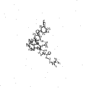 CN(C/C=C/C(=O)N1CC[C@@H](n2c(C3CC3)c(-c3ccc(Oc4cccc(F)c4)cc3)c3c(N)ncnc32)C1)C1CC1